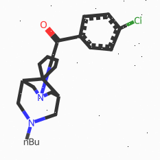 CCCCN1CC2CN(C(=O)c3ccc(Cl)cc3)CC(C1)C21CCCC1